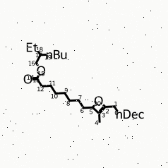 CCCCCCCCCCCC1=C(C)C(CCCCCCCC(=O)OCC(CC)CCCC)O1